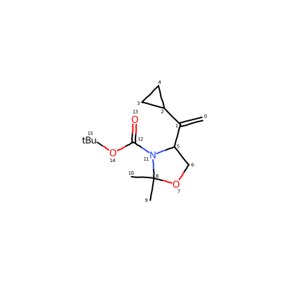 C=C(C1CC1)C1COC(C)(C)N1C(=O)OC(C)(C)C